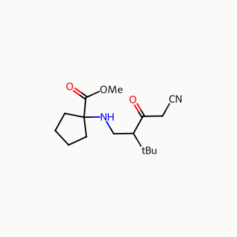 COC(=O)C1(NCC(C(=O)CC#N)C(C)(C)C)CCCC1